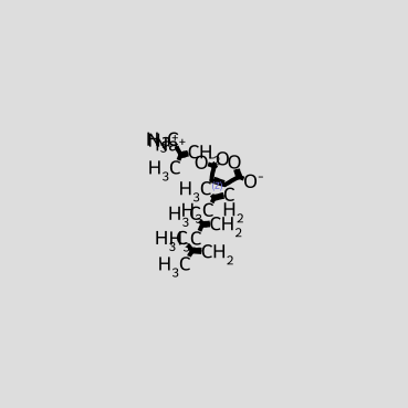 C=C(C)C.C=C(C)C.C=C(C)C.C=C(C)C.O=C([O-])/C=C\C(=O)[O-].[Na+].[Na+]